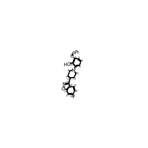 CCCOc1[c]ccc(N2CCC(c3noc4cc(F)ccc34)CC2)c1O